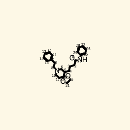 O=C(CCCC1CN(CCc2ccccc2)CCC12OCCO2)Nc1ccccc1